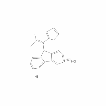 C[C](C)=[Zr]([C]1=CC=CC1)[CH]1c2ccccc2-c2ccccc21.Cl.Cl.[Hf]